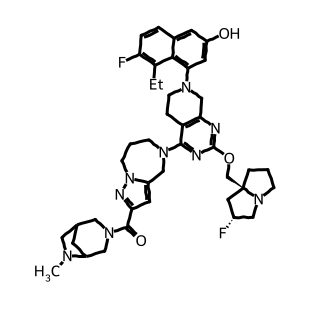 CCc1c(F)ccc2cc(O)cc(N3CCc4c(nc(OC[C@@]56CCCN5C[C@H](F)C6)nc4N4CCCn5nc(C(=O)N6CC7CC(C6)N(C)C7)cc5C4)C3)c12